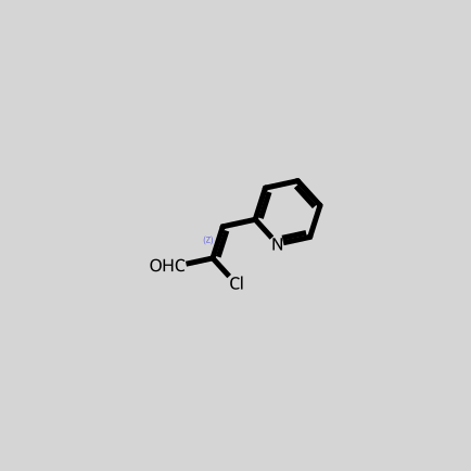 O=C/C(Cl)=C/c1ccccn1